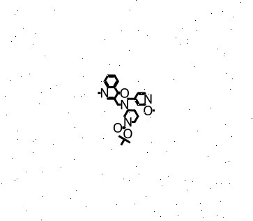 COc1cc(CN(Cc2cn(C)c3ccccc3c2=O)C2CCCN(C(=O)OC(C)(C)C)C2)ccn1